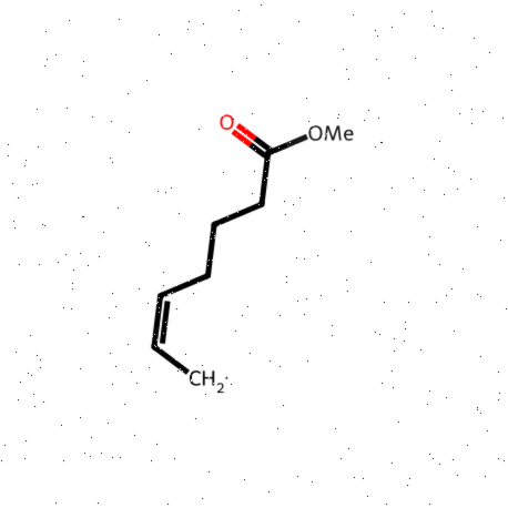 [CH2]/C=C\CCCC(=O)OC